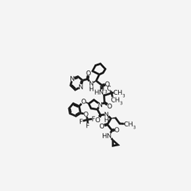 CCC[C@H](NC(=O)C1C[C@@H](Oc2ccccc2OC(F)(F)F)CN1C(=O)[C@@H](NC(=O)[C@@H](NC(=O)c1cnccn1)C1CCCCC1)C(C)(C)C)C(=O)C(=O)NC1CC1